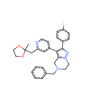 CC1(Cc2cc(-c3c(-c4ccc(F)cc4)nn4c3CN(Cc3ccccc3)CC4)ccn2)OCCO1